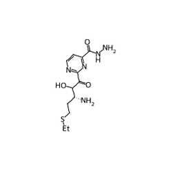 CCSCC[C@@H](N)C(O)C(=O)c1nccc(C(=O)NN)n1